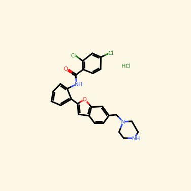 Cl.O=C(Nc1ccccc1-c1cc2ccc(CN3CCNCC3)cc2o1)c1ccc(Cl)cc1Cl